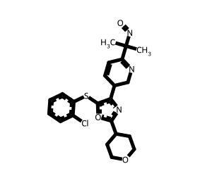 CC(C)(N=O)C1=NCC(c2nc(C3CCOCC3)oc2Sc2ccccc2Cl)C=C1